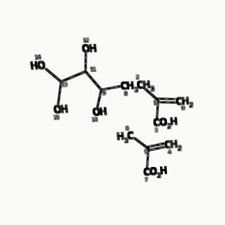 C=C(C)C(=O)O.C=C(C)C(=O)O.CC(O)C(O)C(O)O